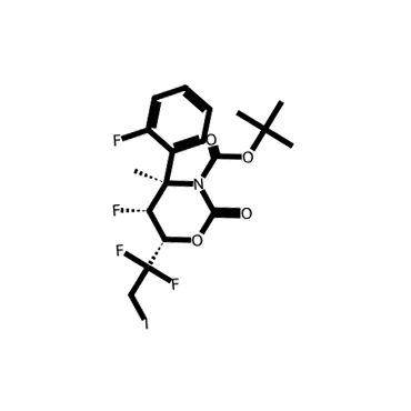 CC(C)(C)OC(=O)N1C(=O)O[C@H](C(F)(F)CI)[C@H](F)[C@@]1(C)c1ccccc1F